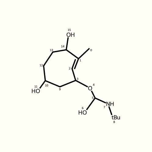 C/C1=C\C(OC(O)NC(C)(C)C)CC(O)CCC1O